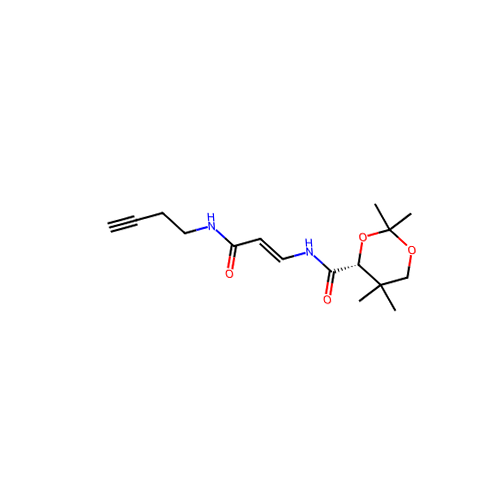 C#CCCNC(=O)/C=C/NC(=O)[C@@H]1OC(C)(C)OCC1(C)C